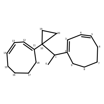 CC(/C1=C/C=C\CCCC1)C1(/C2=C/C=C\CCCC2)CC1